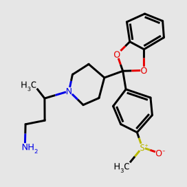 CC(CCN)N1CCC(C2(c3ccc([S+](C)[O-])cc3)Oc3ccccc3O2)CC1